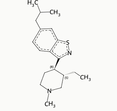 CC[C@@H]1CN(C)CC[C@H]1c1nsc2cc(CC(C)C)ccc12